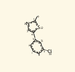 Cc1ncc(-c2cccc(Cl)c2)s1